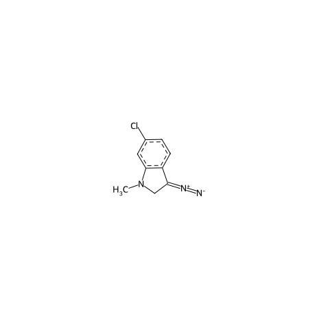 CN1CC(=[N+]=[N-])c2ccc(Cl)cc21